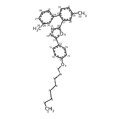 CCCCCCCCOc1ccc(-c2nnc(-c3cc(C)ccc3-c3cccc(C)c3)o2)cc1